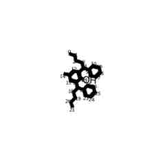 CCCCC(c1ccccc1)c1cc(C)cc(C(CCCC)c2ccccc2)c1O